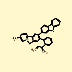 C=CC(=C)c1ccccc1-c1cc2c(cc1-c1ccc3c(c1)sc1ccccc13)-c1ccc(C)c[n+]1C2